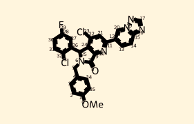 COc1ccc(CN2C(=O)c3nc(-c4ccc5ncnn5c4)cc(Cl)c3C2c2cc(F)ccc2Cl)cc1